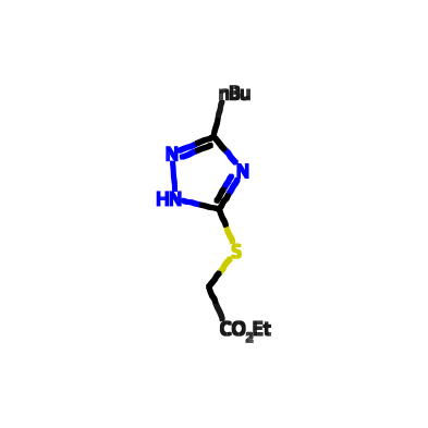 CCCCc1n[nH]c(SCC(=O)OCC)n1